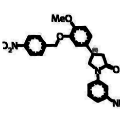 COc1ccc([C@H]2CC(=O)N(c3cccc(N)c3)C2)cc1OCc1ccc([N+](=O)[O-])cc1